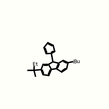 CCC(C)c1ccc2c(c1)C(c1ccccc1)c1cc(C(C)(C)CC)ccc1-2